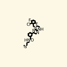 CN(C)CCCNC(=O)c1cccc(-c2cnc3c(n2)N(Cc2c(F)ccc(F)c2Cl)CCN3)c1